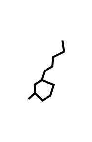 CCCCCC1CCCC(I)C1